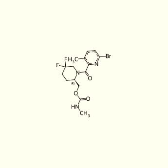 CNC(=O)OC[C@H]1CCC(F)(F)CN1C(=O)c1nc(Br)ccc1C